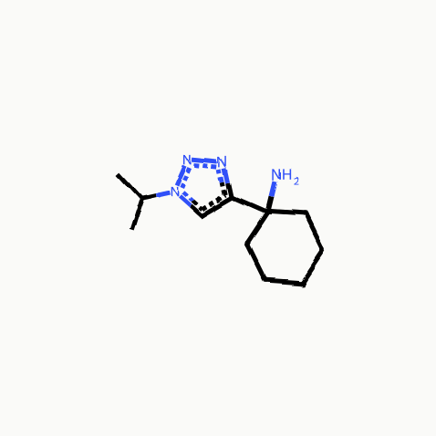 CC(C)n1cc(C2(N)CCCCC2)nn1